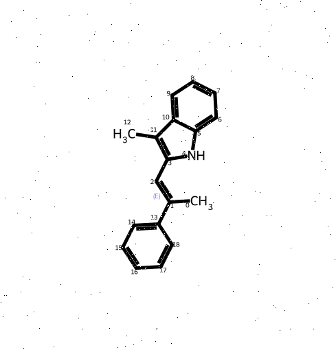 C/C(=C\c1[nH]c2ccccc2c1C)c1ccccc1